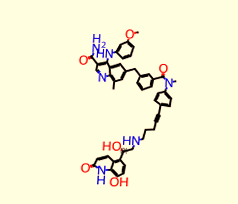 COc1cccc(Nc2c(C(N)=O)cnc3c(C)cc(Cc4cccc(C(=O)N(C)c5ccc(C#CCCCNC[C@H](O)c6ccc(O)c7[nH]c(=O)ccc67)cc5)c4)cc23)c1